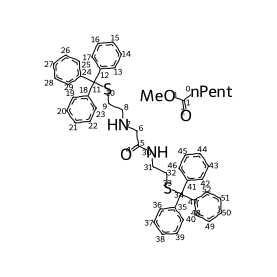 CCCCCC(=O)OC.O=C(CNCCSC(c1ccccc1)(c1ccccc1)c1ccccc1)NCCSC(c1ccccc1)(c1ccccc1)c1ccccc1